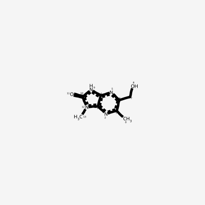 Cc1nc2c(nc1CO)[nH]c(=O)n2C